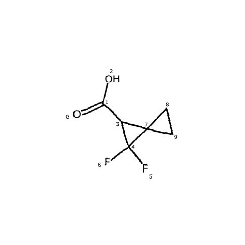 O=C(O)C1C(F)(F)C12CC2